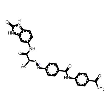 CC(=O)C(/N=N/c1ccc(C(=O)Nc2ccc(C(N)=O)cc2)cc1)C(=O)Nc1ccc2[nH]c(=O)[nH]c2c1